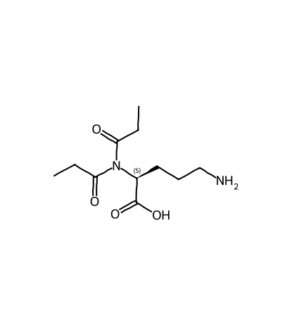 CCC(=O)N(C(=O)CC)[C@@H](CCCN)C(=O)O